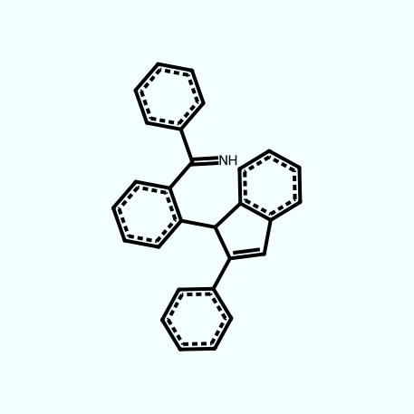 N=C(c1ccccc1)c1ccccc1C1C(c2ccccc2)=Cc2ccccc21